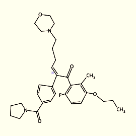 CCCOc1ccc(F)c(C(=O)/C(=C\CCCN2CCOCC2)c2ccc(C(=O)N3CCCC3)cc2)c1C